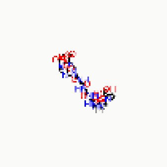 CC(C)[C@H](NC(=O)CNC(=O)CNC(=O)CNC(=O)CN1CCN2CCN3CCN(CC1)CC(=O)OC(OC(=O)C2)OC(=O)C3)C(=O)N[C@H](C)C(=O)N1CCC[C@H]1B(O)O